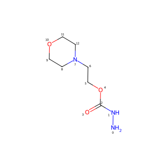 NNC(=O)OCCN1CCOCC1